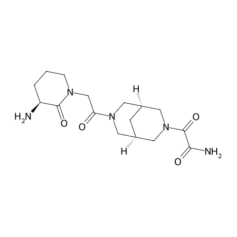 NC(=O)C(=O)N1C[C@@H]2C[C@@H](CN(C(=O)CN3CCC[C@H](N)C3=O)C2)C1